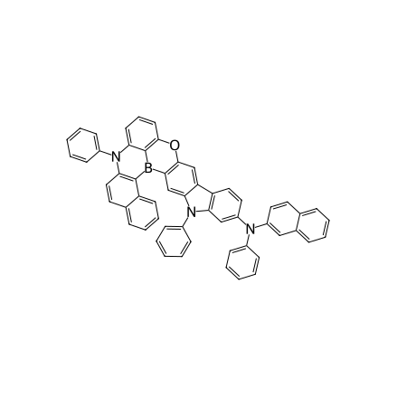 c1ccc(N(c2ccc3ccccc3c2)c2ccc3c4cc5c(cc4n(-c4ccccc4)c3c2)B2c3c(cccc3N(c3ccccc3)c3ccc4ccccc4c32)O5)cc1